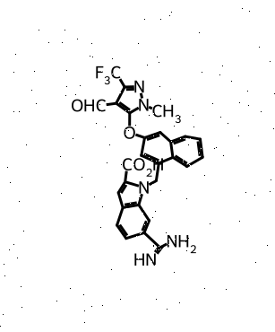 Cn1nc(C(F)(F)F)c(C=O)c1Oc1cc(Cn2c(C(=O)O)cc3ccc(C(=N)N)cc32)c2ccccc2c1